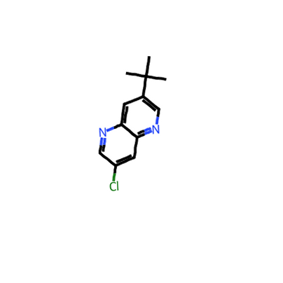 CC(C)(C)c1cnc2cc(Cl)cnc2c1